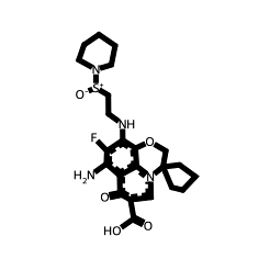 Nc1c(F)c(NCC[S+]([O-])N2CCCCC2)c2c3c1c(=O)c(C(=O)O)cn3C1(CCCC1)CO2